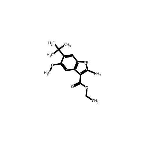 CCOC(=O)c1c(N)[nH]c2cc(C(C)(C)C)c(OC)cc12